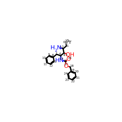 CC(C)CC(N)C(O)C(Cc1ccccc1)NC(=O)OCc1ccccc1